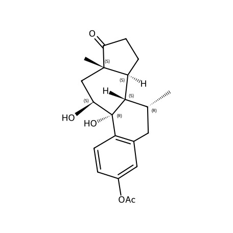 CC(=O)Oc1ccc2c(c1)C[C@@H](C)[C@H]1[C@@H]3CCC(=O)[C@@]3(C)C[C@H](O)[C@]21O